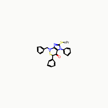 CCCSc1nc2c(n1-c1ccccc1)C(=O)C(c1ccccc1)SN2Cc1ccccc1